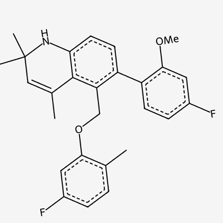 COc1cc(F)ccc1-c1ccc2c(c1COc1cc(F)ccc1C)C(C)=CC(C)(C)N2